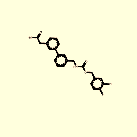 O=C(O)Cc1cccc(-c2cccc(CNC(=O)OCc3ccc(Cl)c(Cl)c3)c2)c1